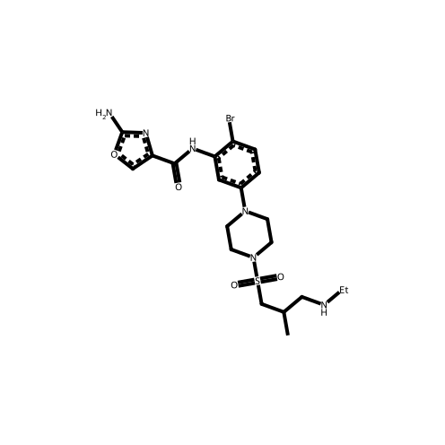 CCNCC(C)CS(=O)(=O)N1CCN(c2ccc(Br)c(NC(=O)c3coc(N)n3)c2)CC1